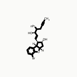 CC#CCC(CCC)[C@H](O)/C=C/[C@@H]1[C@H]2c3cccc(Br)c3O[C@H]2C[C@H]1O